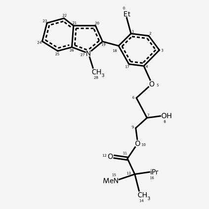 CCc1ccc(OCC(O)COC(=O)C(C)(NC)C(C)C)cc1-c1cc2ccccc2n1C